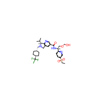 CCS(=O)(=O)c1ccc([C@H](COCO)NC(=O)c2cnc3c(c2)CN(C[C@H]2CC[C@H](C(F)(F)F)CC2)[C@H]3C(C)C)nc1